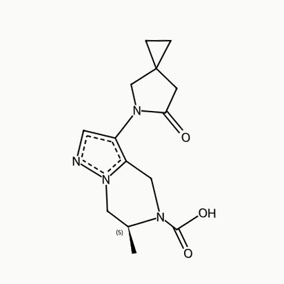 C[C@H]1Cn2ncc(N3CC4(CC4)CC3=O)c2CN1C(=O)O